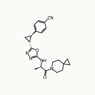 C[C@@H](Nc1nnc([C@@H]2C[C@H]2c2ccc(C#N)cc2)o1)C(=O)N1CCC2(CC1)CC2